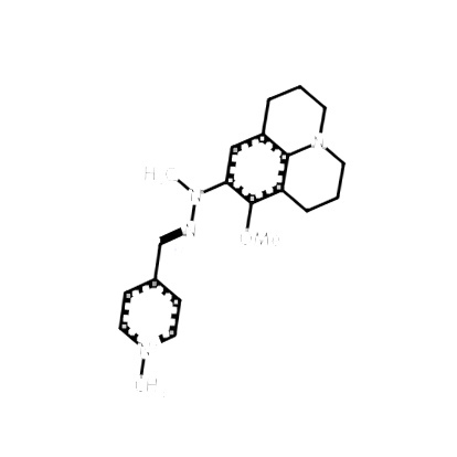 COc1c(N(C)/N=C/c2cc[n+](C)cc2)cc2c3c1CCCN3CCC2